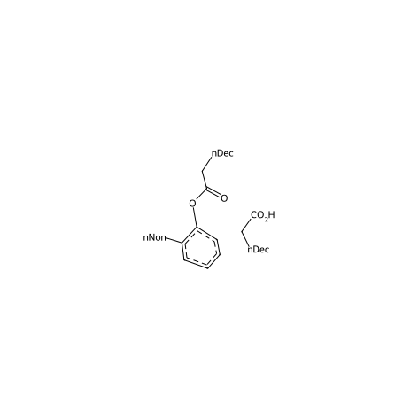 CCCCCCCCCCCC(=O)O.CCCCCCCCCCCC(=O)Oc1ccccc1CCCCCCCCC